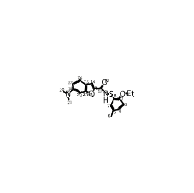 CCOc1ccc(C)cc1SNC(=O)c1cc2ccc(N(C)C)cc2o1